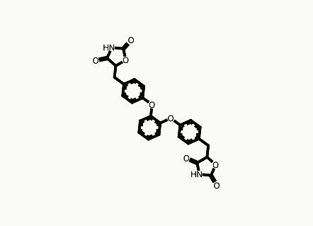 O=C1NC(=O)C(Cc2ccc(Oc3ccccc3Oc3ccc(CC4OC(=O)NC4=O)cc3)cc2)O1